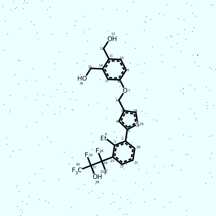 CCc1c(-c2cc(COc3ccc(CO)c(CO)c3)cs2)cccc1C(F)(F)C(O)(F)C(F)(F)F